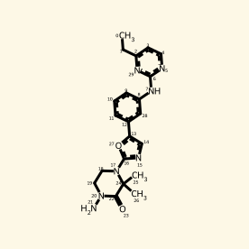 CCc1ccnc(Nc2cccc(-c3cnc(N4CCN(N)C(=O)C4(C)C)o3)c2)n1